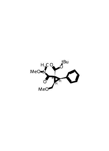 COC[C@@H]1[C@H](c2ccccc2)[C@]1(C(=O)OC(C)(C)C)C(=O)N(C)OC